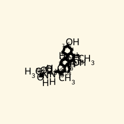 CC[C@@H]1C2C[C@H](O)CC[C@]2(C)[C@H]2CCC3(C)[C@@H]([C@H](C)CNC(=O)NS(C)(=O)=O)CC[C@H]3C2[C@@H]1O